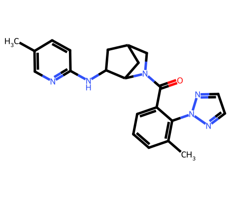 Cc1ccc(NC2CC3CC2N(C(=O)c2cccc(C)c2-n2nccn2)C3)nc1